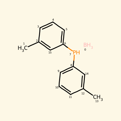 B.Cc1cccc(Pc2cccc(C)c2)c1